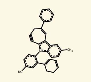 Cc1ccc2c(c1)c1c(n2-c2ccc(C#N)cc2C2=CC=CCC2)C#CCC(c2ccccc2)=C1